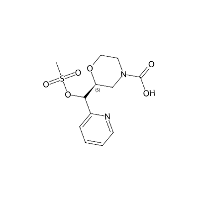 CS(=O)(=O)OC(c1ccccn1)[C@@H]1CN(C(=O)O)CCO1